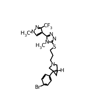 Cn1cc(-c2nnc(SCCCN3C[C@@H]4CC4(c4ccc(Br)cc4)C3)n2C)c(C(F)(F)F)n1